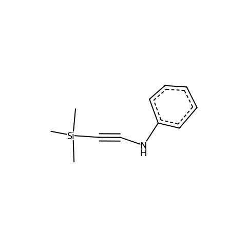 C[Si](C)(C)C#CNc1ccccc1